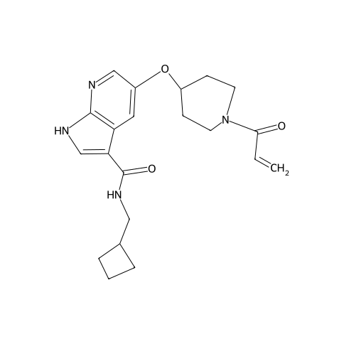 C=CC(=O)N1CCC(Oc2cnc3[nH]cc(C(=O)NCC4CCC4)c3c2)CC1